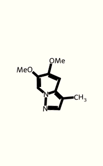 COc1cc2c(C)cnn2cc1OC